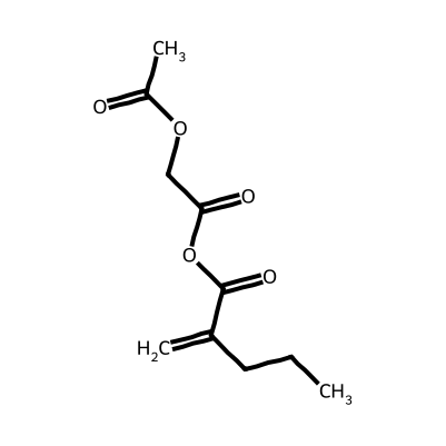 C=C(CCC)C(=O)OC(=O)COC(C)=O